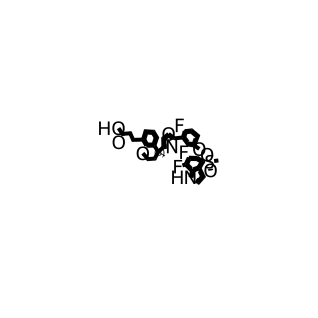 C[C@]1(c2coc(-c3cc(Oc4c(F)c(F)c5[nH]ccc5c4S(C)(=O)=O)ccc3F)n2)CCOc2c(CCC(=O)O)cccc21